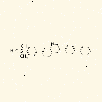 C[Si](C)(C)c1ccc(-c2ccc3cc(-c4ccc(-c5ccncc5)cc4)cnc3c2)cc1